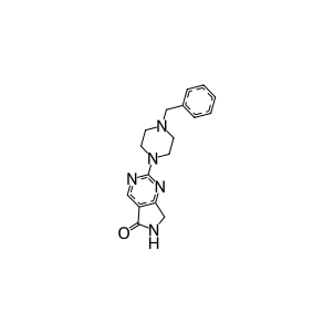 O=C1NCc2nc(N3CCN(Cc4ccccc4)CC3)ncc21